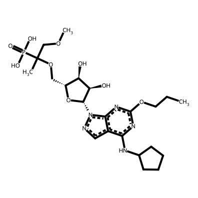 CCCOc1nc(NC2CCCC2)c2cnn([C@@H]3O[C@H](COC(C)(COC)P(=O)(O)O)[C@@H](O)[C@H]3O)c2n1